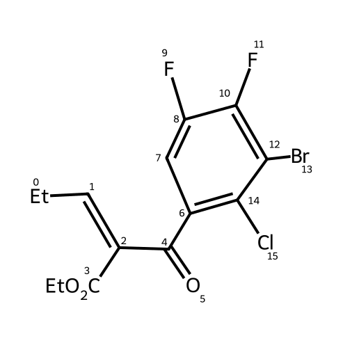 CCC=C(C(=O)OCC)C(=O)c1cc(F)c(F)c(Br)c1Cl